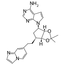 CC1(C)O[C@@H]2[C@@H](CCc3ccn4ccnc4c3)C[C@@H](n3ccc4c(N)ncnc43)[C@@H]2O1